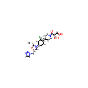 O=CC1O[C@@H](Cn2ccnn2)CN1c1ccc(C2=CCN(C(=O)[C@@H](O)CO)CC2)c(F)c1